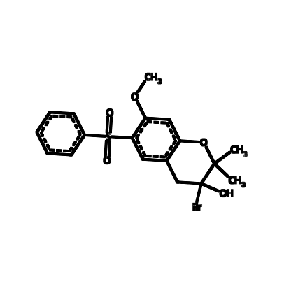 COc1cc2c(cc1S(=O)(=O)c1ccccc1)CC(O)(Br)C(C)(C)O2